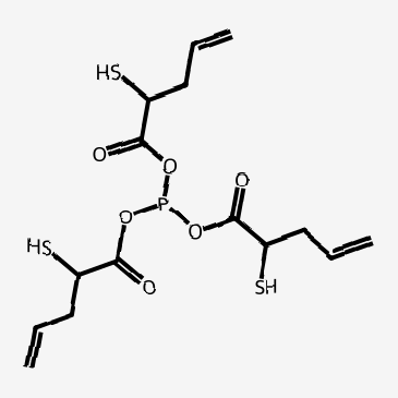 C=CCC(S)C(=O)OP(OC(=O)C(S)CC=C)OC(=O)C(S)CC=C